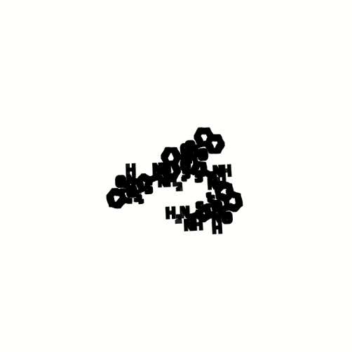 CSc1sc(C(=N)N)cc1N(S(=O)(=O)c1cccc2ccccc12)S(=O)(=O)c1cccc2ccccc12.CSc1sc(C(=N)N)cc1NS(=O)(=O)c1cccc2ccccc12.CSc1sc(C(=N)N)cc1NS(=O)(=O)c1ccccc1C